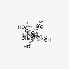 C=C(C)C(=O)O.C=CC(=O)OCCC[Si](O[Si](C)(C)CCCO)(O[Si](C)(C)CCCO)O[Si](C)(C)CCCO